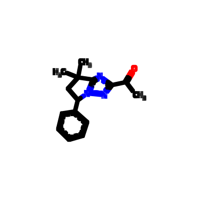 CC(=O)c1nc2n(n1)C(c1ccccc1)CC2(C)C